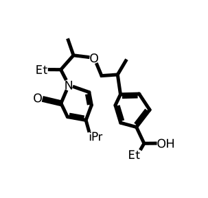 CCC(O)c1ccc(C(C)COC(C)C(CC)n2ccc(C(C)C)cc2=O)cc1